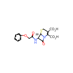 O=C(COc1ccccc1)NC1C(=O)N2C(C(=O)O)=C(C(=O)O)CS[C@H]12